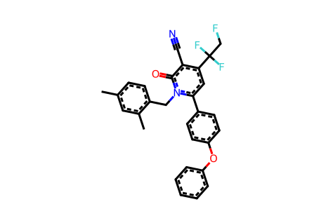 Cc1ccc(Cn2c(-c3ccc(Oc4ccccc4)cc3)cc(C(F)(F)CF)c(C#N)c2=O)c(C)c1